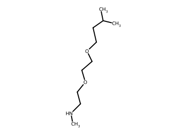 CNCCOCCOCCC(C)C